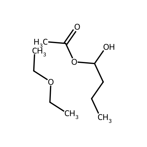 CCCC(O)OC(C)=O.CCOCC